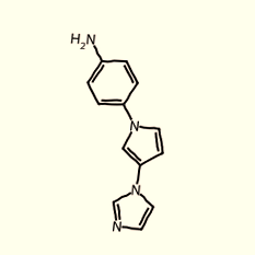 Nc1ccc(-n2ccc(-n3ccnc3)c2)cc1